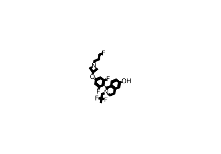 CC(F)(F)CN1CCc2cc(O)ccc2[C@H]1c1c(F)cc(OC2CN(CCCF)C2)cc1F